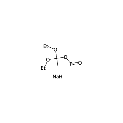 CCOC(C)(OCC)OP=O.[NaH]